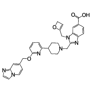 O=C(O)c1ccc2nc(CN3CCC(c4cccc(OCc5ccn6ccnc6c5)n4)CC3)n(CC3=CCO3)c2c1